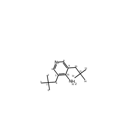 CC(C)(C)Cc1cncc(CC(C)(C)C)c1N